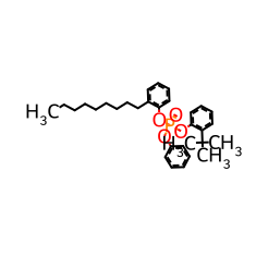 CCCCCCCCCc1ccccc1OP(=O)(Oc1ccccc1)Oc1ccccc1C(C)(C)C